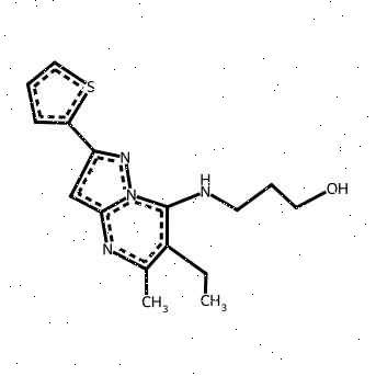 CCc1c(C)nc2cc(-c3cccs3)nn2c1NCCCO